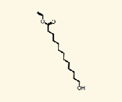 C=COC(=O)CCCCCCCCCCCCO